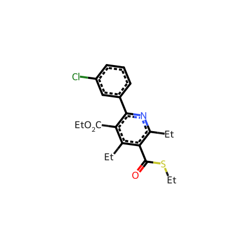 CCOC(=O)c1c(-c2cccc(Cl)c2)nc(CC)c(C(=O)SCC)c1CC